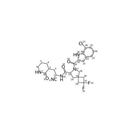 N#CC(CC1CCCNC1=O)NC(=O)C1CC2(CN1C(=O)c1cc3cccc(Cl)c3[nH]1)CC(F)(F)C2